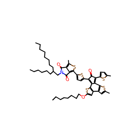 CCCCCCCCOc1cc2c(s1)c1c(c3sc(C)cc32)=C(c2ccc(C)s2)C(=O)C=1c1ccc(-c2sc(C)c3c2C(=O)N(CC(CCCCCC)CCCCCCCC)C3=O)s1